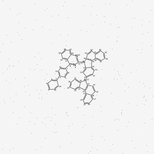 c1ccc(-c2ccc(-c3nc(-n4c5cc(-n6c7ccccc7c7c8ccccc8ccc76)ccc5c5c6ccccc6ccc54)nc4ccccc34)cc2)cc1